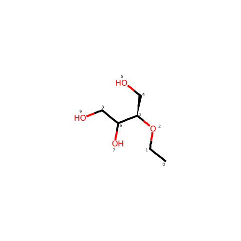 CCO[C@H](CO)C(O)CO